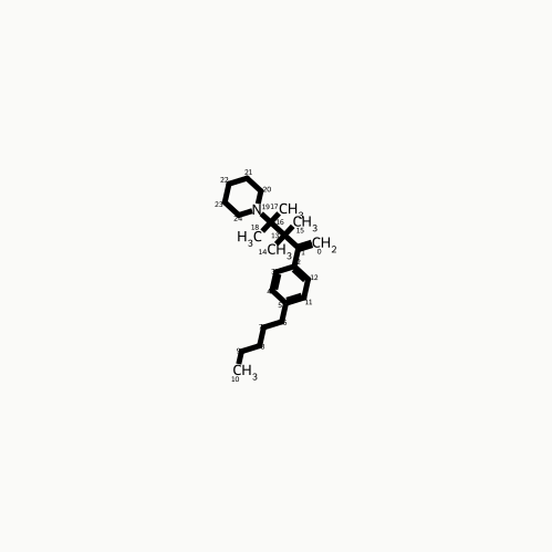 C=C(c1ccc(CCCCC)cc1)C(C)(C)C(C)(C)N1CCCCC1